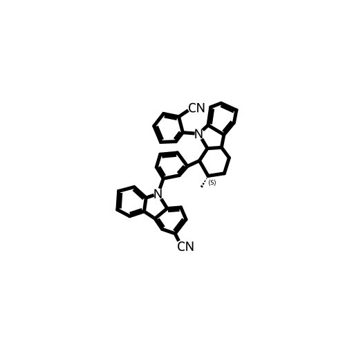 C[C@H]1CCC2c3ccccc3N(c3ccccc3C#N)C2C1c1cccc(-n2c3ccccc3c3cc(C#N)ccc32)c1